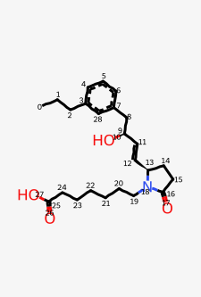 CCCc1cccc(C[C@H](O)/C=C/[C@H]2CCC(=O)N2CCCCCCC(=O)O)c1